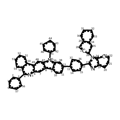 c1ccc(-c2nc3cc4c5ccc(-c6ccc(-c7nc8ccccc8n7-c7ccc8ccccc8c7)cc6)cc5n(-c5ccccc5)c4cc3c3ccccc23)cc1